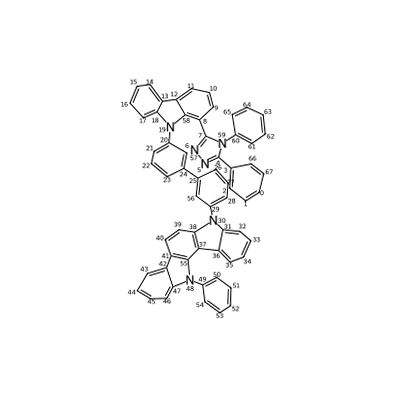 c1ccc(-c2nnc(-c3cccc4c5ccccc5n(-c5cccc(-c6cccc(-n7c8ccccc8c8c7ccc7c9ccccc9n(-c9ccccc9)c78)c6)c5)c34)n2-c2ccccc2)cc1